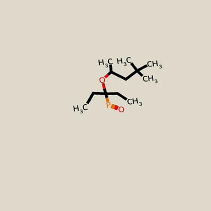 CCC(CC)(OC(C)CC(C)(C)C)P=O